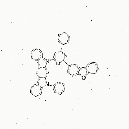 c1ccc(-c2cc(-n3c4ccccc4c4cc5c6ccccc6n(-c6ccccc6)c5cc43)nc(-c3ccc4oc5ccccc5c4c3)n2)cc1